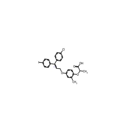 Cc1cc(OC/C=C(\c2ccc(Cl)cc2)c2ccc(I)cc2)ccc1OC(C)C(=O)O